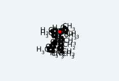 C=Cc1cc(C(C)(C)C)ccc1N1c2cc(C)cc3c2B(c2ccc4c5c2N3c2cc3c(cc2C5(C)CCC4(C)C)C(C)(C)CCC3(C)C)c2oc3cc4c(cc3c21)C(C)(C)CCC4(C)C